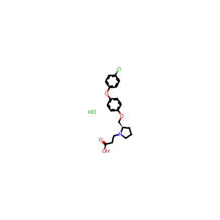 Cl.O=C(O)CCN1CCC[C@@H]1COc1ccc(Oc2ccc(Cl)cc2)cc1